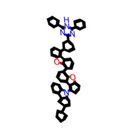 C1=CC(c2cccc3oc4c(-c5cccc6c5oc5cccc(-n7c8ccccc8c8cc(-c9ccccc9)ccc87)c56)cccc4c23)CC(C2=NC(c3ccccc3)NC(c3ccccc3)=N2)=C1